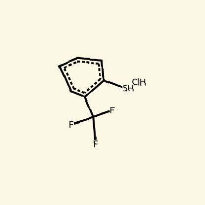 Cl.FC(F)(F)c1ccccc1S